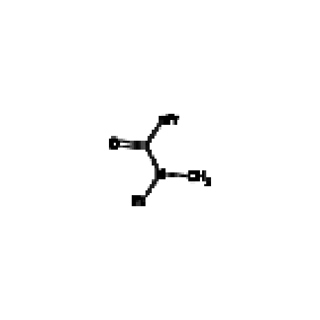 [CH2]CN(C)C(=O)CCC